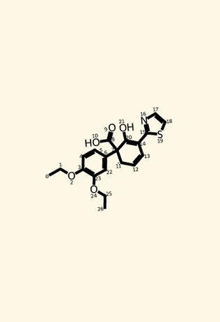 CCOc1ccc(C2(C(=O)O)[CH]C=CC(c3nccs3)=C2O)cc1OCC